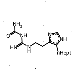 CCCCCCCc1[nH]cnc1CCNC(=N)NC(N)=O